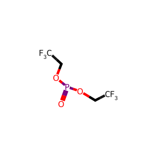 O=[P](OCC(F)(F)F)OCC(F)(F)F